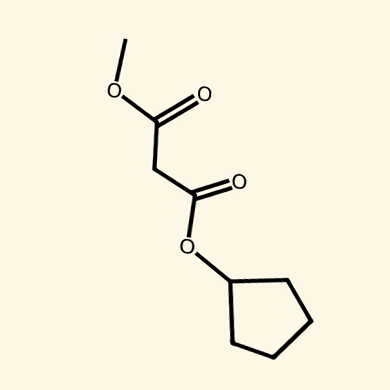 COC(=O)CC(=O)OC1CCCC1